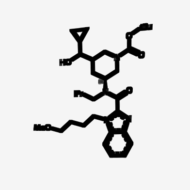 COCCCCn1c(C(=O)N(CC(C)C)[C@H]2CC(C(O)C3CC3)CN(C(=O)OC(C)(C)C)C2)nc2ccccc21